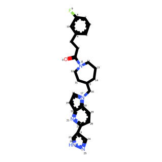 O=C(CCc1cccc(F)c1)N1CCCC(Cn2ccc3nc(-c4cn[nH]c4)ccc32)CC1